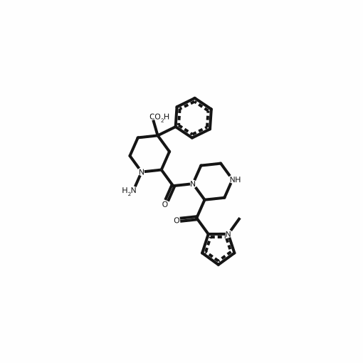 Cn1cccc1C(=O)C1CNCCN1C(=O)C1CC(C(=O)O)(c2ccccc2)CCN1N